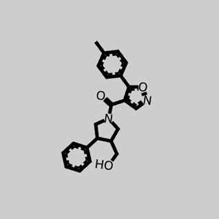 Cc1ccc(-c2oncc2C(=O)N2CC(CO)C(c3ccccc3)C2)cc1